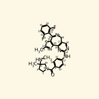 CNC1(C)CCN(C(=O)c2ccc(Nc3ncc4c(n3)-c3nc(C)sc3C(c3c(F)cccc3F)=NC4)cc2)C1